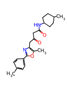 Cc1ccc(-c2nc(CC(=O)CC(=O)NC3CCC(C)CC3)c(C)o2)cc1